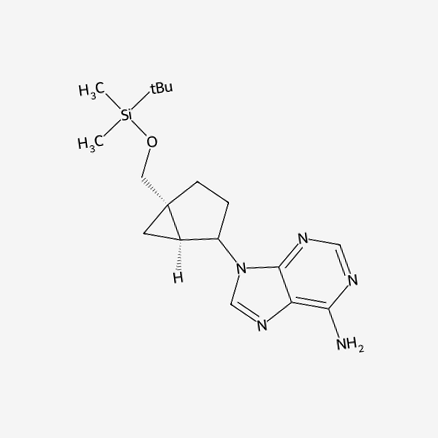 CC(C)(C)[Si](C)(C)OC[C@]12CCC(n3cnc4c(N)ncnc43)[C@H]1C2